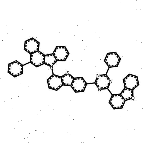 c1ccc(-c2nc(-c3ccc4c(c3)sc3c(-n5c6ccccc6c6c7ccccc7c(-c7ccccc7)cc65)cccc34)nc(-c3cccc4oc5ccccc5c34)n2)cc1